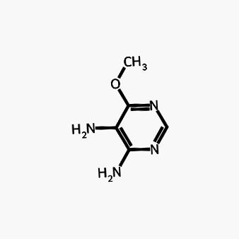 COc1ncnc(N)c1N